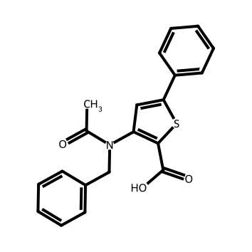 CC(=O)N(Cc1ccccc1)c1cc(-c2ccccc2)sc1C(=O)O